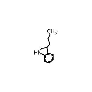 [CH2]CCCC1CNc2ccccc21